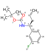 C=CC[C@H](NC(=O)OC(C)(C)C)c1cccc(F)c1